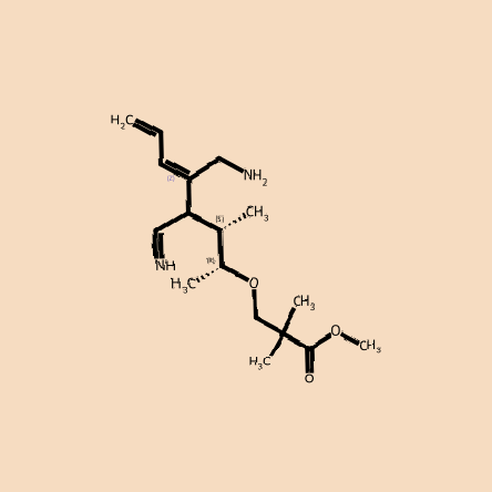 C=C/C=C(\CN)C(C=N)[C@H](C)[C@@H](C)OCC(C)(C)C(=O)OC